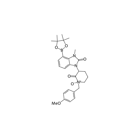 COc1ccc(C[N+]2([O-])CCCC(n3c(=O)n(C)c4c(B5OC(C)(C)C(C)(C)O5)cccc43)C2=O)cc1